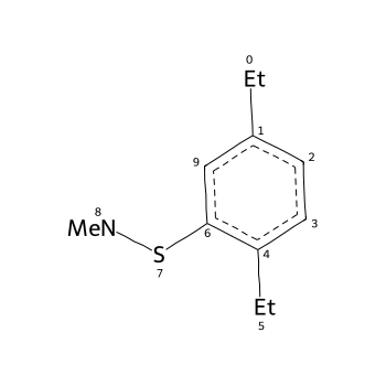 CCc1ccc(CC)c(SNC)c1